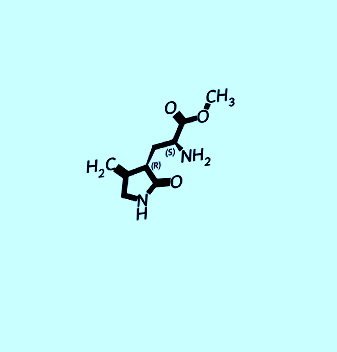 C=C1CNC(=O)[C@@H]1C[C@H](N)C(=O)OC